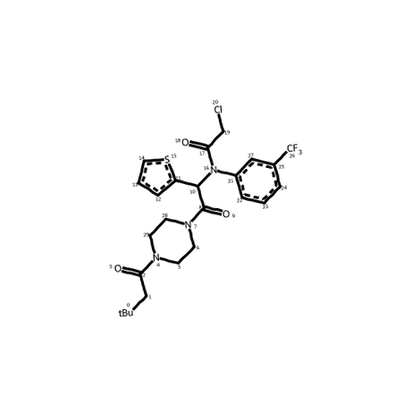 CC(C)(C)CC(=O)N1CCN(C(=O)C(c2cccs2)N(C(=O)CCl)c2cccc(C(F)(F)F)c2)CC1